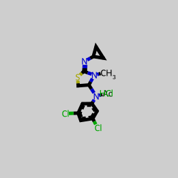 CC(=O)N(c1cc(Cl)cc(Cl)c1)C1CSC(=NC2CC2)N1C.Cl